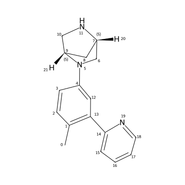 Cc1ccc(N2C[C@@H]3C[C@H]2CN3)cc1-c1ccccn1